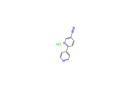 Cl.N#Cc1ccc(-c2ccncc2)nc1